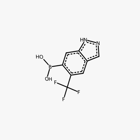 OB(O)c1cc2[nH]ncc2cc1C(F)(F)F